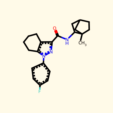 CC12CCC(CC1NC(=O)c1nn(-c3ccc(F)cc3)c3c1CCCC3)C2